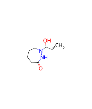 C=CC(O)N1CCCCC(=O)N1